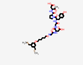 CSCc1cc(CSC)cc(OCCCCCCO/N=C/C(=O)NC(CC(=O)O)C(=O)NCC(=O)NC(Cc2ccc(O)cc2)C(=O)N2CCC[C@H]2C(=O)NC(CC(=O)O)C(C)=O)c1